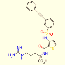 N=C(N)NCCC[C@H](NC(=O)c1sccc1NS(=O)(=O)c1cccc(C#Cc2ccccc2)c1)C(=O)O